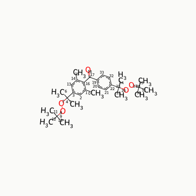 Cc1cc(C(C)(C)OOC(C)(C)C)cc(C)c1C(=O)c1ccc(C(C)(C)OOC(C)(C)C)cc1